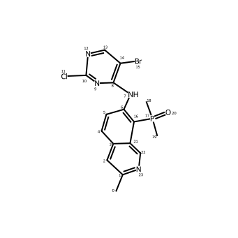 Cc1cc2ccc(Nc3nc(Cl)ncc3Br)c(P(C)(C)=O)c2cn1